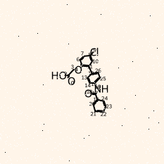 O=C(O)COc1ccc(Cl)cc1-c1ccc(NC(=O)c2ccccc2)cc1